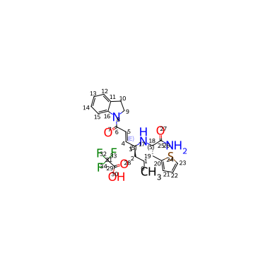 CCC[C@@H](/C=C/C(=O)N1CCc2ccccc21)N[C@@H](Cc1cccs1)C(N)=O.O=C(O)C(F)(F)F